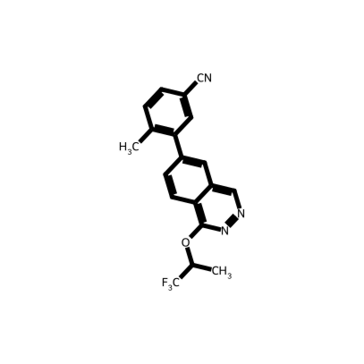 Cc1ccc(C#N)cc1-c1ccc2c(OC(C)C(F)(F)F)nncc2c1